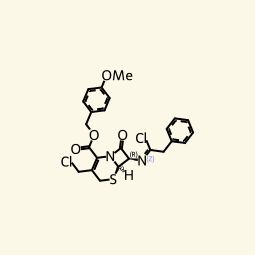 COc1ccc(COC(=O)C2=C(CCl)CS[C@@H]3[C@H](/N=C(\Cl)Cc4ccccc4)C(=O)N23)cc1